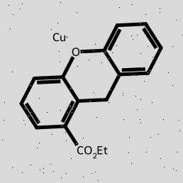 CCOC(=O)c1cccc2c1Cc1ccccc1O2.[Cu]